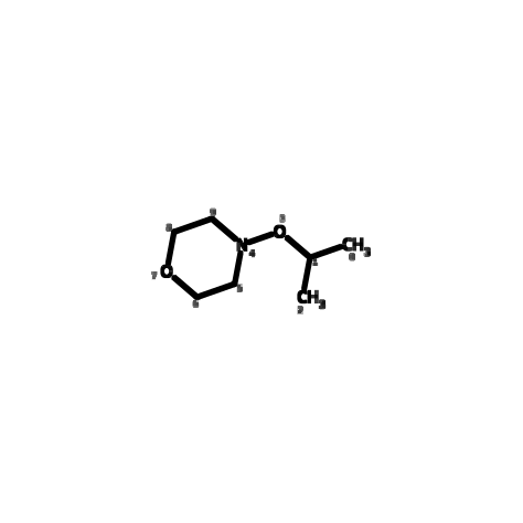 CC(C)ON1CCOCC1